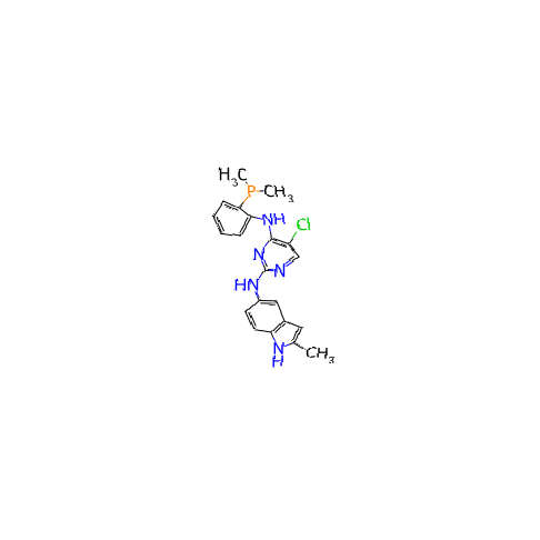 Cc1cc2cc(Nc3ncc(Cl)c(Nc4ccccc4P(C)C)n3)ccc2[nH]1